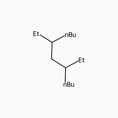 [CH2]CCCC(CC)CC(CC)CCCC